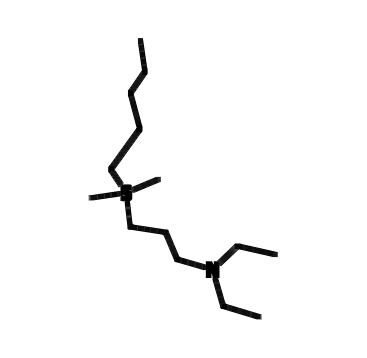 CCCCCS(C)(C)CCCN(CC)CC